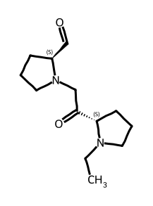 CCN1CCC[C@H]1C(=O)CN1CCC[C@H]1C=O